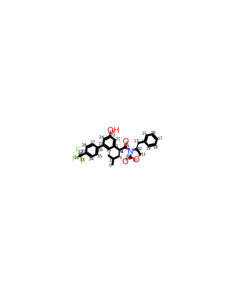 CC(C)C[C@H](C(=O)N1C(=O)OC[C@@H]1Cc1ccccc1)c1cc(O)cc(-c2ccc(C(F)(F)F)cc2)c1